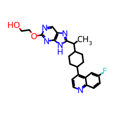 CC(c1nc2cnc(OCCO)nc2[nH]1)C1CCC(c2ccnc3ccc(F)cc23)CC1